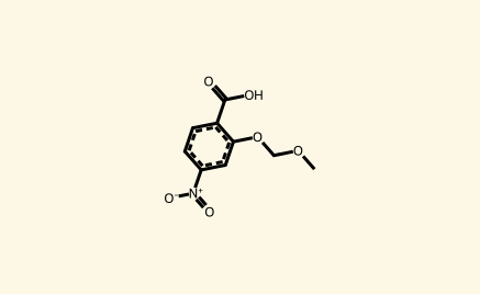 COCOc1cc([N+](=O)[O-])ccc1C(=O)O